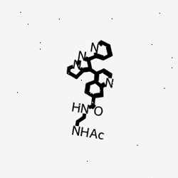 CC(=O)NCCNC(=O)c1ccc2c(-c3c(-c4ccccn4)nn4c3CCC4)ccnc2c1